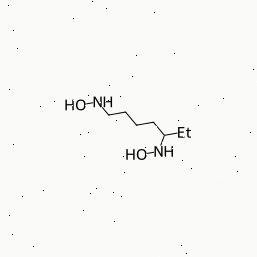 CCC(CCCCNO)NO